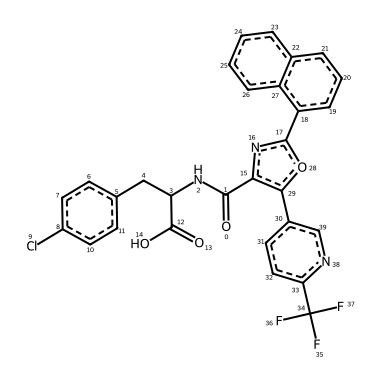 O=C(NC(Cc1ccc(Cl)cc1)C(=O)O)c1nc(-c2cccc3ccccc23)oc1-c1ccc(C(F)(F)F)nc1